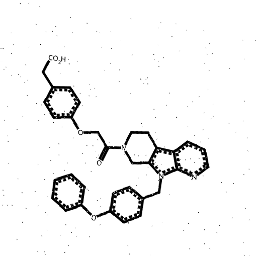 O=C(O)Cc1ccc(OCC(=O)N2CCc3c(n(Cc4ccc(Oc5ccccc5)cc4)c4ncccc34)C2)cc1